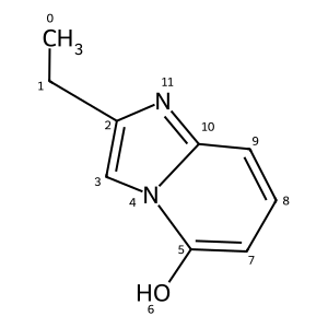 CCc1cn2c(O)cccc2n1